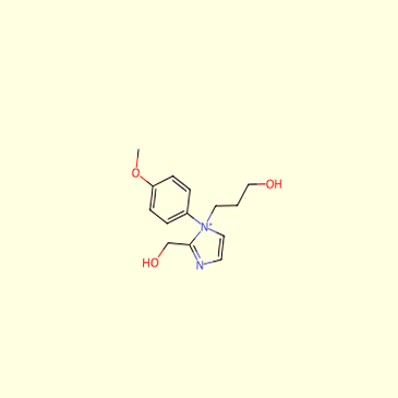 COc1ccc([N+]2(CCCO)C=CN=C2CO)cc1